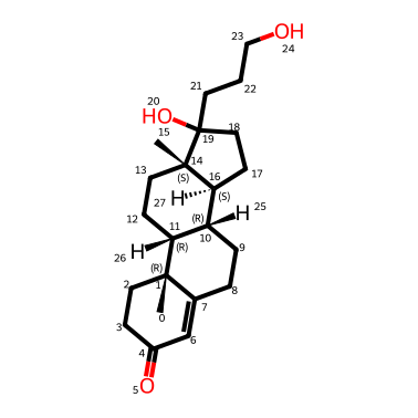 C[C@]12CCC(=O)C=C1CC[C@@H]1[C@H]2CC[C@@]2(C)[C@H]1CCC2(O)CCCO